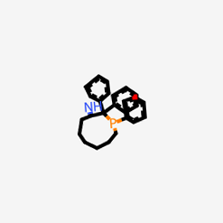 N=C1CCCCCCP(c2ccccc2)C1(c1ccccc1)c1ccccc1